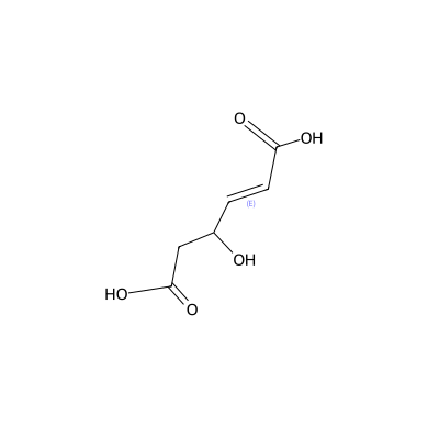 O=C(O)/C=C/C(O)CC(=O)O